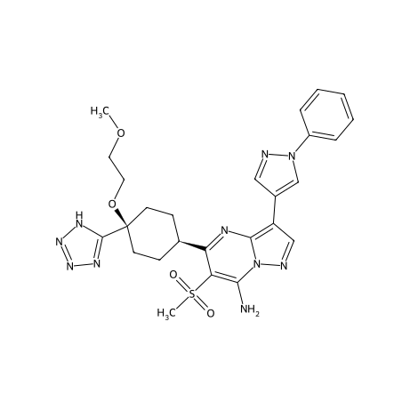 COCCO[C@]1(c2nnn[nH]2)CC[C@H](c2nc3c(-c4cnn(-c5ccccc5)c4)cnn3c(N)c2S(C)(=O)=O)CC1